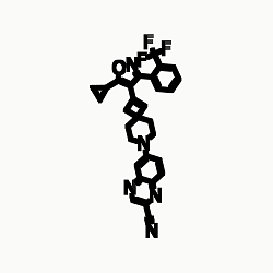 N#Cc1cnc2cc(N3CCC4(C=C(c5c(-c6ccccc6C(F)(F)F)noc5C5CC5)C4)CC3)ccc2n1